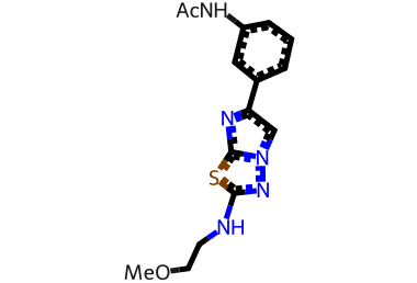 COCCNc1nn2cc(-c3cccc(NC(C)=O)c3)nc2s1